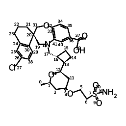 C[C@@H]1C[C@H](OCCS(N)(=O)=O)C[C@H]([C@@H]2CC[C@H]2CN2C[C@@]3(CCCc4cc(Cl)ccc43)COc3ccc(C(=O)O)cc32)O1